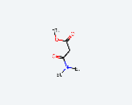 CCN(CC)C(=O)CC(=O)OC(C)(C)C